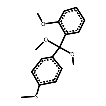 COc1ccccc1C(OC)(OC)c1ccc(SC)cc1